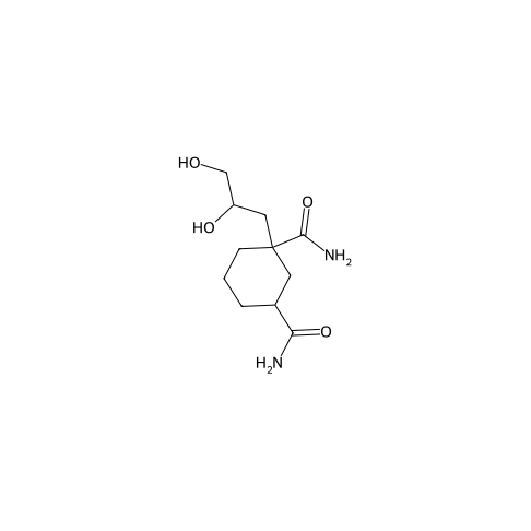 NC(=O)C1CCCC(CC(O)CO)(C(N)=O)C1